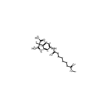 COC(=O)CCCCCCC(=O)Nc1ccc(C(C)(C(=O)O)C(=O)O)cc1